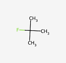 CC(C)(C)F